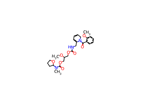 COc1ccccc1C(=O)N1CC=CC=C1CNC(=O)OCC(COC(=O)N(C)C1CCCO1)OC